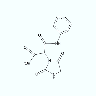 CC(C)(C)C(=O)C(C(=O)Nc1ccccc1)N1C(=O)CNC1=O